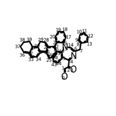 O=CC(=O)C1=NC(Cc2ccccc2)=CN(c2ccccc2-c2cccc3c2=CCc2c4c(ccc2=3)=CCCC4)c2ccccc21